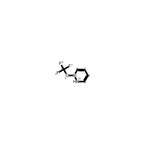 FC(F)(F)ON1[C]=CC=CN1